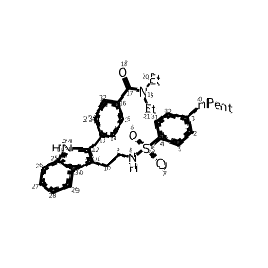 CCCCCc1ccc(S(=O)(=O)NCCc2c(-c3ccc(C(=O)N(CC)CC)cc3)[nH]c3ccccc23)cc1